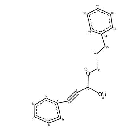 OC(C#Cc1ccccc1)OCCCc1ccccc1